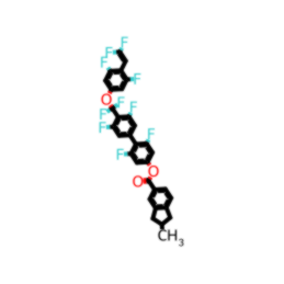 CC1Cc2ccc(C(=O)Oc3cc(F)c(-c4cc(F)c(C(F)(F)Oc5cc(F)c(C=C(F)F)c(F)c5)c(F)c4)c(F)c3)cc2C1